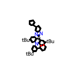 CC(C)(C)c1ccc2c(c1)B1c3c(cc(C(C)(C)C)cc3-n3c1nc1ccc(-c4ccccc4)cc13)N2c1ccc(C(C)(C)C)cc1-c1ccccc1